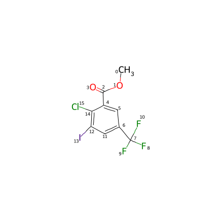 COC(=O)c1cc(C(F)(F)F)cc(I)c1Cl